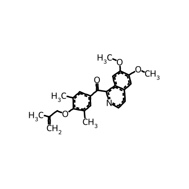 C=C(C)COc1c(C)cc(C(=O)c2nccc3cc(OC)c(OC)cc23)cc1C